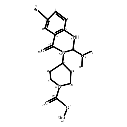 CN(C)C1Nc2ccc(Br)cc2C(=O)N1C1CCN(C(=O)OC(C)(C)C)CC1